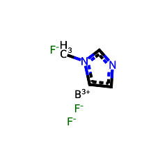 Cn1ccnc1.[B+3].[F-].[F-].[F-]